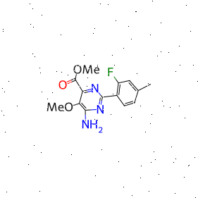 COC(=O)c1nc(-c2ccc(C)cc2F)nc(N)c1OC